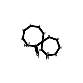 O=C1NCCCCCC12CCCCNC2